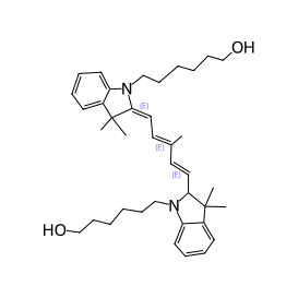 CC(/C=C/C1N(CCCCCCO)c2ccccc2C1(C)C)=C\C=C1\N(CCCCCCO)c2ccccc2C1(C)C